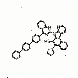 Sc1c(C2=CC=CC2)c2ccccc2c2c3cccnc3n(-c3nc(-c4ccc(-c5ccc(-c6ccccc6)cc5)cc4)c4ccccc4n3)c12